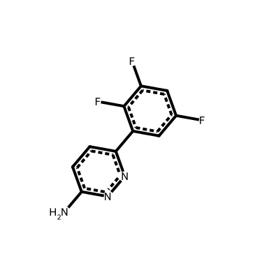 Nc1ccc(-c2cc(F)cc(F)c2F)nn1